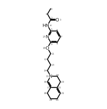 CCC(=O)Nc1cccc(OCCCCN2C=C3CCCC=C3CC2)n1